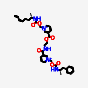 C=C/C=C\CC[C@H](C)NC(=O)OC[n+]1cccc(C(=O)OCCNC(=O)c2ccc[n+](COC(=O)N[C@@H](C)Cc3ccccc3)c2)c1